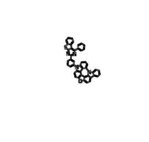 c1ccc(-c2nc(-c3cccc(-n4c5ccc6oc7ccc8c9ccccc9n9c%10cccc4c%10c5c6c7c89)c3)nc3sc4ccccc4c23)cc1